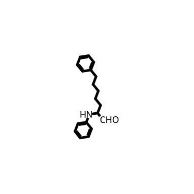 O=CC(CCCCCc1ccccc1)Nc1ccccc1